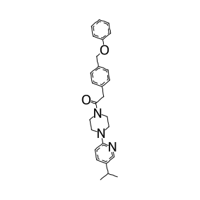 CC(C)c1ccc(N2CCN(C(=O)Cc3ccc(COc4ccccc4)cc3)CC2)nc1